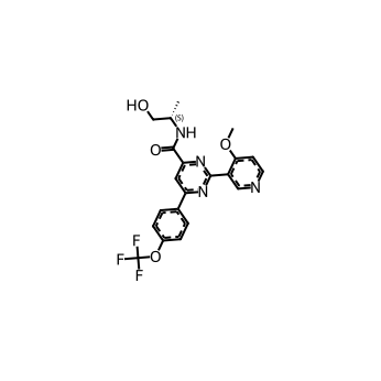 COc1ccncc1-c1nc(C(=O)N[C@@H](C)CO)cc(-c2ccc(OC(F)(F)F)cc2)n1